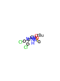 CC(N/C(=N/Sc1ccccc1)NC(=O)OC(C)(C)C)c1cnc(-c2ccc(Cl)cc2)c(-c2ccc(Cl)cc2)c1